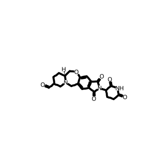 O=CC1CC[C@H]2COc3cc4c(cc3CN2C1)C(=O)N(C1CCC(=O)NC1=O)C4=O